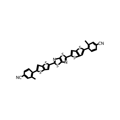 Cc1cc(C#N)ccc1-c1cc2sc(-c3nc4sc(-c5cc6sc(-c7ccc(C#N)cc7C)cc6s5)nc4s3)cc2s1